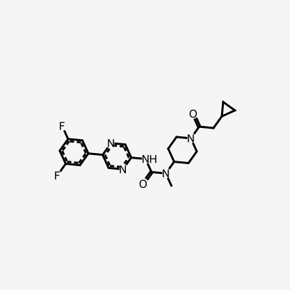 CN(C(=O)Nc1cnc(-c2cc(F)cc(F)c2)cn1)C1CCN(C(=O)CC2CC2)CC1